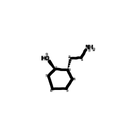 NCC[C@@H]1CCCC[C@H]1O